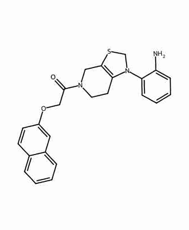 Nc1ccccc1N1CSC2=C1CCN(C(=O)COc1ccc3ccccc3c1)C2